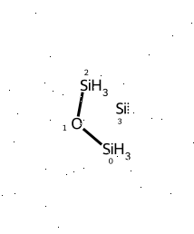 [SiH3]O[SiH3].[Si]